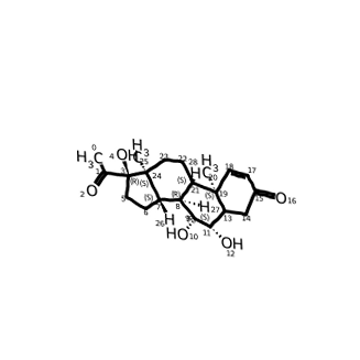 CC(=O)[C@@]1(O)CC[C@H]2[C@@H]3[C@@H](O)[C@@H](O)C4CC(=O)C=C[C@]4(C)[C@H]3CC[C@@]21C